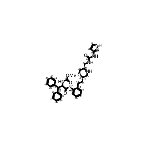 COC(=O)NC(C(=O)Nc1ccccc1CC[C@@H]1CN[C@H](CNC(=O)Nc2cc[nH]n2)CO1)C(c1ccccc1)c1ccccc1